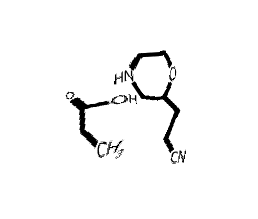 CCC(=O)O.N#CCCC1CNCCO1